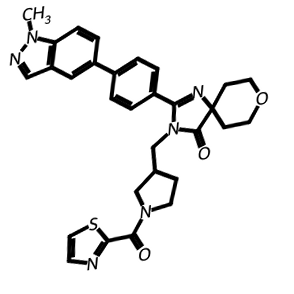 Cn1ncc2cc(-c3ccc(C4=NC5(CCOCC5)C(=O)N4CC4CCN(C(=O)c5nccs5)C4)cc3)ccc21